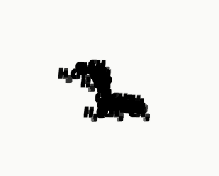 CNC1CC[C@@]2(C)C(CC[C@]3(C)[C@@H]2CC[C@@H]2C4[C@H](C(C)C)CC[C@]4(C(=O)O[C@@H]4CC[C@@]5(C)C(=CC[C@H]6[C@@H]7CC[C@H]([C@H](C)CCCC(C)C)[C@@]7(C)CC[C@@H]65)C4)CC[C@]23C)C1(C)C